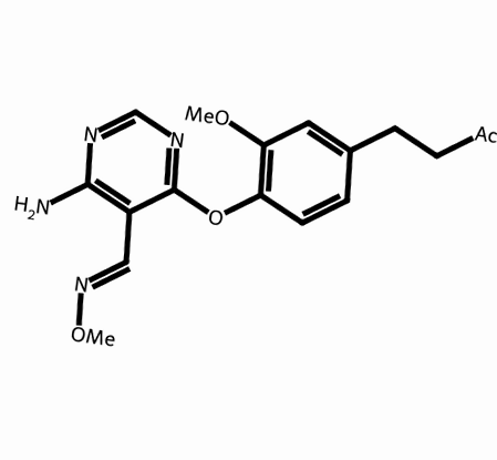 CON=Cc1c(N)ncnc1Oc1ccc(CCC(C)=O)cc1OC